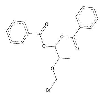 CC(OCBr)C(OC(=O)c1ccccc1)OC(=O)c1ccccc1